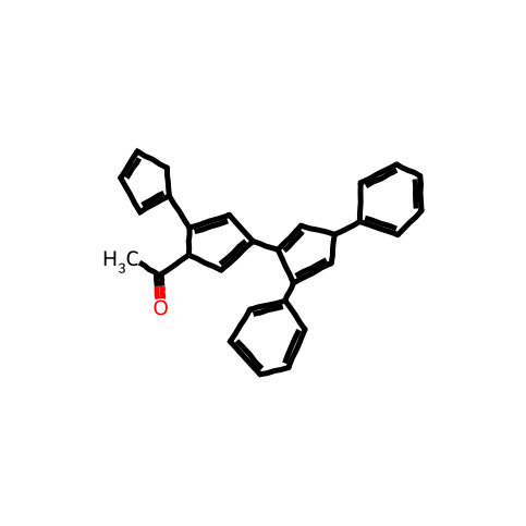 CC(=O)C1C=C(C2=CC(c3ccccc3)C=C2c2ccccc2)C=C1C1=CC=CC1